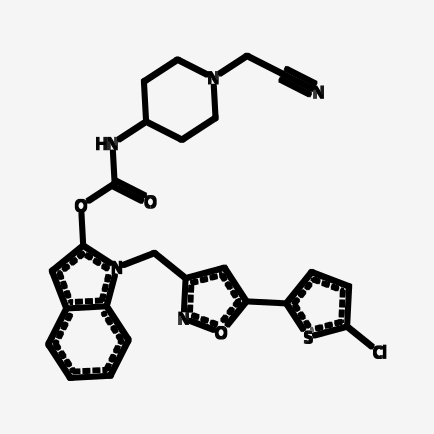 N#CCN1CCC(NC(=O)Oc2cc3ccccc3n2Cc2cc(-c3ccc(Cl)s3)on2)CC1